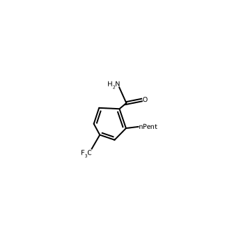 CCCCCc1cc(C(F)(F)F)ccc1C(N)=O